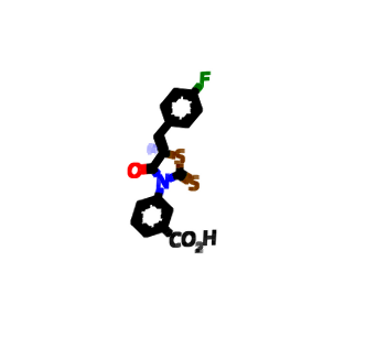 O=C(O)c1cccc(N2C(=O)/C(=C/c3ccc(F)cc3)SC2=S)c1